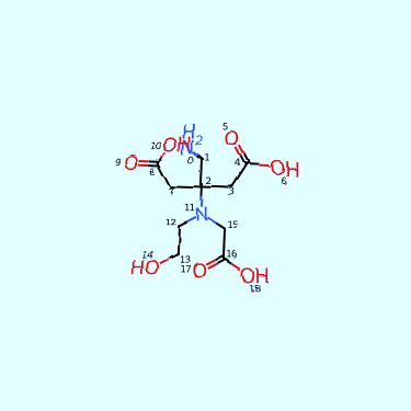 NCC(CC(=O)O)(CC(=O)O)N(CCO)CC(=O)O